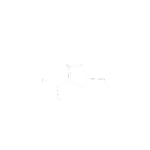 COC(O)c1cc(C(C)=O)cn1C